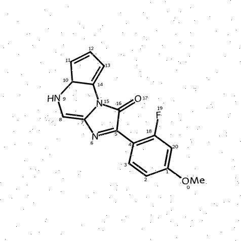 COc1ccc(C2=NC3=CNC4C=CC=C4N3C2=O)c(F)c1